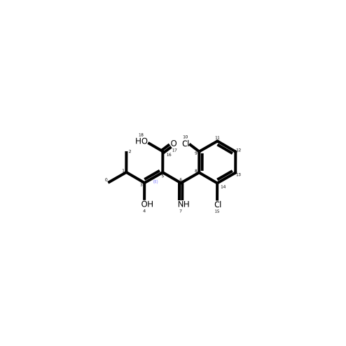 CC(C)/C(O)=C(/C(=N)c1c(Cl)cccc1Cl)C(=O)O